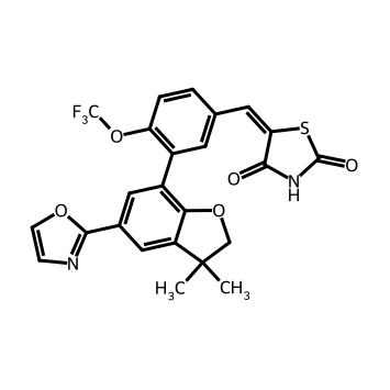 CC1(C)COc2c(-c3cc(C=C4SC(=O)NC4=O)ccc3OC(F)(F)F)cc(-c3ncco3)cc21